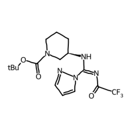 CC(C)(C)OC(=O)N1CCC[C@@H](N/C(=N/C(=O)C(F)(F)F)n2cccn2)C1